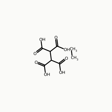 CC.O=C(O)C(C(=O)O)C(C(=O)O)C(=O)O